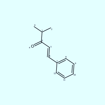 CC(C)C(=O)C=Cc1ccccc1